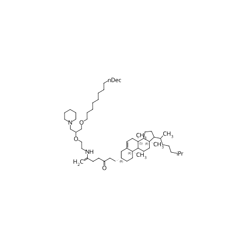 C=C(CCC(=O)CC[C@H]1CC[C@@]2(C)C(=CC[C@@]3(C)C4CCC(C(C)CCCC(C)C)[C@@]4(C)CCC32)C1)NCCOC(COCCCCCCCCCCCCCCCCCC)CN1CCCCC1